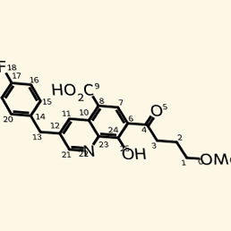 COCCCC(=O)c1cc(C(=O)O)c2cc(Cc3ccc(F)cc3)cnc2c1O